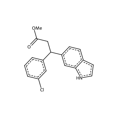 COC(=O)CC(c1cccc(Cl)c1)c1ccc2cc[nH]c2c1